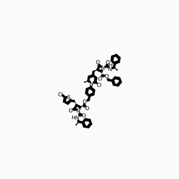 C[C@@H](NC(=O)N1C(=O)[C@H](CC2=C[C@H](C)N(c3ccc(COC(=O)[C@@H]4[C@@H](Cc5ccc(Cl)s5)C(=O)N4C(=O)N[C@H](C)c4ccccc4)cc3)C(Cl)=C2)[C@H]1C(=O)OCc1ccccc1)c1ccccc1